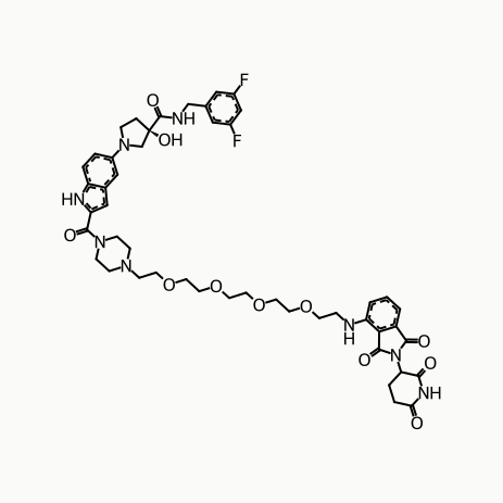 O=C1CCC(N2C(=O)c3cccc(NCCOCCOCCOCCOCCN4CCN(C(=O)c5cc6cc(N7CC[C@](O)(C(=O)NCc8cc(F)cc(F)c8)C7)ccc6[nH]5)CC4)c3C2=O)C(=O)N1